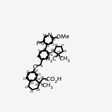 COc1cc(-c2ccc(COc3ccc4c(c3)[C@@](C)(CC(=O)O)CCC4)cc2[C@H]2CCCC2(C)C)c(F)cn1